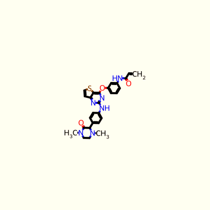 C=CC(=O)Nc1cccc(Oc2nc(Nc3ccc(C4C(=O)N(C)CCN4C)cc3)nc3ccsc23)c1